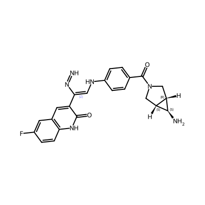 N=N/C(=C\Nc1ccc(C(=O)N2C[C@@H]3[C@@H](N)[C@@H]3C2)cc1)c1cc2cc(F)ccc2[nH]c1=O